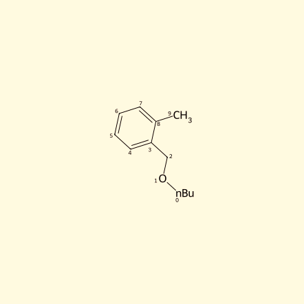 [CH2]CCCOCc1ccccc1C